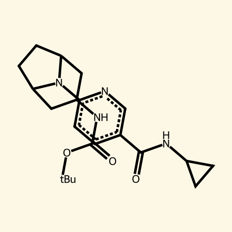 CC(C)(C)OC(=O)NC1CC2CCC(C1)N2c1ccc(C(=O)NC2CC2)cn1